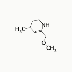 COCC1=CC(C)CCN1